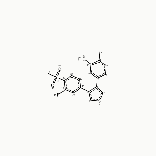 Cc1ccc(-c2cscc2-c2ccc(S(C)(=O)=O)c(F)c2)cc1C(F)(F)F